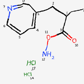 CC(Cc1cccnc1)C(=O)ON.Cl.Cl